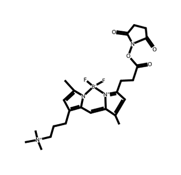 CC1=CC(CCC(=O)ON2C(=O)CCC2=O)=[N+]2C1=Cc1c(CCC[N+](C)(C)C)cc(C)n1[B-]2(F)F